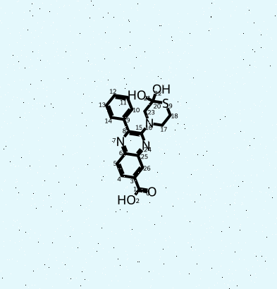 O=C(O)c1ccc2nc(-c3ccccc3)c(N3CCSC(O)(O)C3)nc2c1